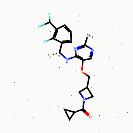 Cc1ncc(OCC2CN(C(=O)C3CC3)C2)c(N[C@H](C)c2cccc(C(F)F)c2F)n1